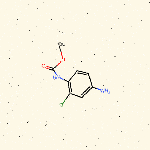 CC(C)(C)OC(=O)Nc1ccc(N)cc1Cl